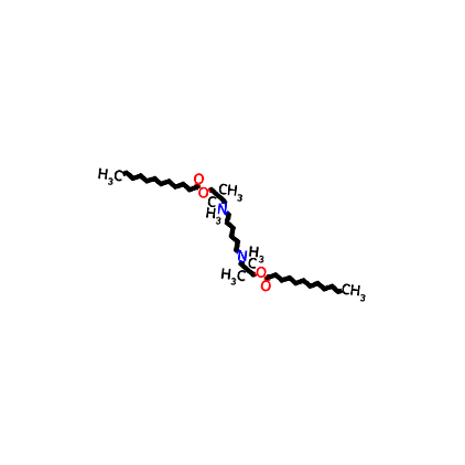 CCCCCCCCCCCC(=O)OCC(C)(C)C=NCCCCCCN=CC(C)(C)COC(=O)CCCCCCCCCCC